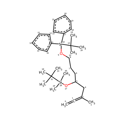 C=C=C(C)CC(CCCO[Si](c1ccccc1)(c1ccccc1)C(C)(C)C)O[Si](C)(C)C(C)(C)C